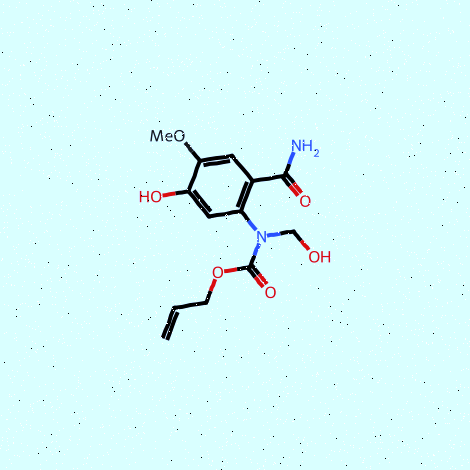 C=CCOC(=O)N(CO)c1cc(O)c(OC)cc1C(N)=O